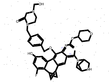 C=C(/N=C1/C(OCc2ccc(CN3CCN(CO)CC3=O)cc2)=C(c2cc(O)cc(F)c2C2CC2)C(C2CC2)=C/C1=C(/C)N1CC2CC1CN2)OC1CCOCC1